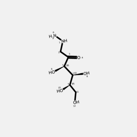 NNCC(=O)[C@H](O)[C@@H](O)[C@H](O)CO